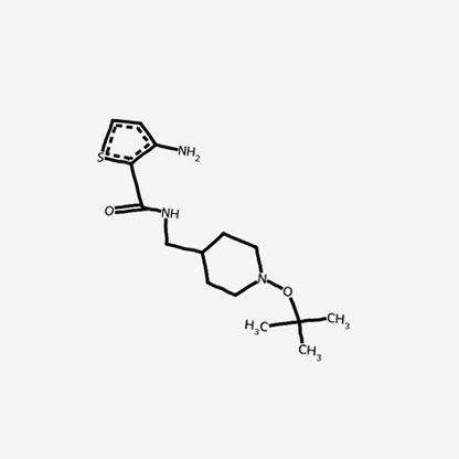 CC(C)(C)ON1CCC(CNC(=O)c2sccc2N)CC1